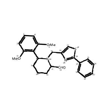 COc1cccc(OC)c1C1CCCC(C=O)N1Cc1csc(-c2ccccc2)n1